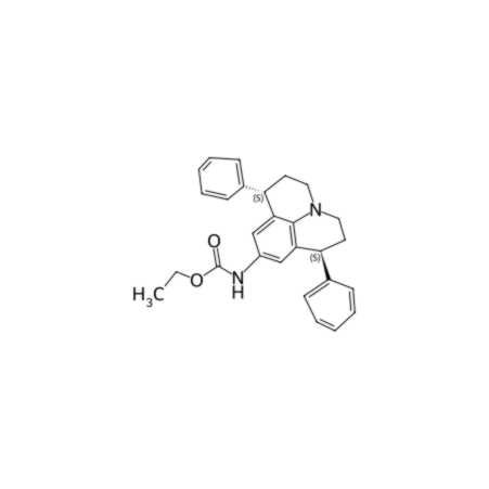 CCOC(=O)Nc1cc2c3c(c1)[C@H](c1ccccc1)CCN3CC[C@H]2c1ccccc1